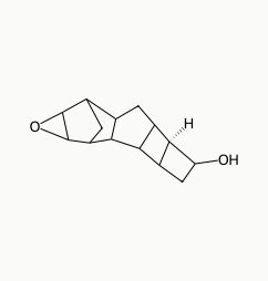 OC1CC2C3C4C(CC3[C@@H]12)C1CC4C2OC12